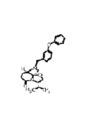 CC(C)[C@H]1CO[C@]23CCN(Cc4cccc(Oc5ccccc5)c4)C[C@H]2CCC(=O)N13